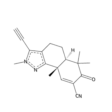 C#Cc1c2c(nn1C)[C@@]1(C)C=C(C#N)C(=O)C(C)(C)[C@@H]1CC2